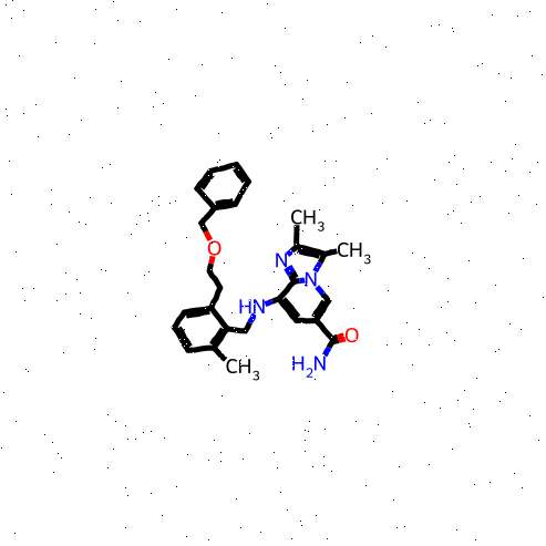 Cc1cccc(CCOCc2ccccc2)c1CNc1cc(C(N)=O)cn2c(C)c(C)nc12